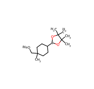 COCC1(C)CCC(B2OC(C)(C)C(C)(C)O2)CC1